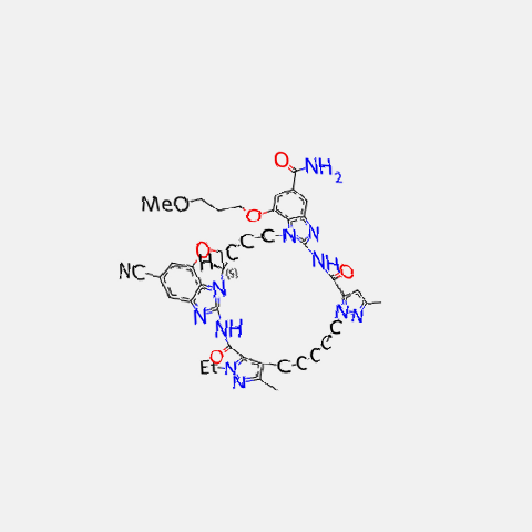 CCn1nc(C)c2c1C(=O)Nc1nc3cc(C#N)cc4c3n1[C@@H](CCCn1c(nc3cc(C(N)=O)cc(OCCCOC)c31)NC(=O)c1cc(C)nn1CCCCC2)CO4